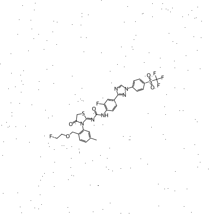 Cc1ccc(COCCF)c(N2C(=O)CS/C2=N\C(=O)Nc2ccc(-c3ncn(-c4ccc(S(=O)(=O)C(F)(F)F)cc4)n3)cc2F)c1